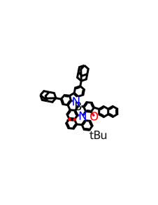 Cc1cc2c3c(c1)N(c1ccc(C(C)(C)C)cc1-c1ccccc1)c1c(ccc4c1oc1cc5ccccc5cc14)B3n1c3ccc(C45CC6CC(CC(C6)C4)C5)cc3c3cc(C45CC6CC(CC(C6)C4)C5)cc-2c31